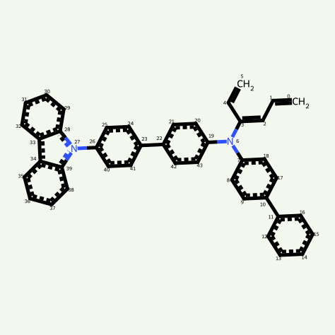 C=C/C=C(\C=C)N(c1ccc(-c2ccccc2)cc1)c1ccc(-c2ccc(-n3c4ccccc4c4ccccc43)cc2)cc1